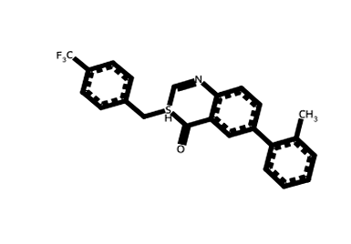 Cc1ccccc1-c1ccc2c(c1)C(=O)[SH](Cc1ccc(C(F)(F)F)cc1)C=N2